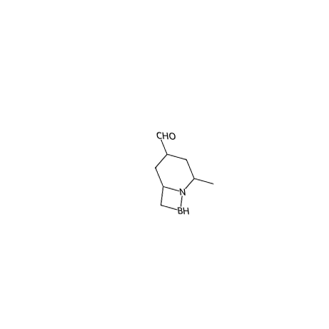 CC1CC(C=O)CC2CBN12